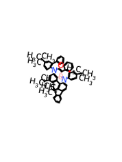 CC(C)(C)c1ccc(N2B3c4c(cc(C(C)(C)C)cc4N(c4ccc(C(C)(C)C)cc4-c4ccccc4)c4oc5ccccc5c43)-c3c2ccc2c3C(C)(C)c3ccccc3-2)cc1